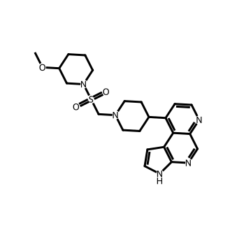 COC1CCCN(S(=O)(=O)CN2CCC(c3ccnc4cnc5[nH]ccc5c34)CC2)C1